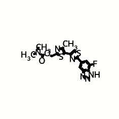 Cc1nc(COC(=O)N(C)C)sc1-c1csc(-c2cc(F)c3[nH]nnc3c2)n1